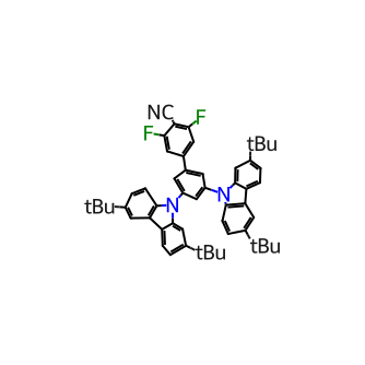 CC(C)(C)c1ccc2c(c1)c1ccc(C(C)(C)C)cc1n2-c1cc(-c2cc(F)c(C#N)c(F)c2)cc(-n2c3ccc(C(C)(C)C)cc3c3ccc(C(C)(C)C)cc32)c1